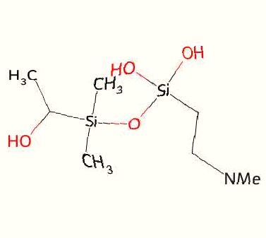 CNCC[Si](O)(O)O[Si](C)(C)C(C)O